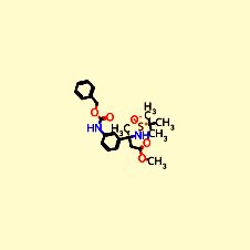 COC(=O)C[C@](C)(N[S@+]([O-])C(C)(C)C)c1cccc(NC(=O)OCc2ccccc2)c1